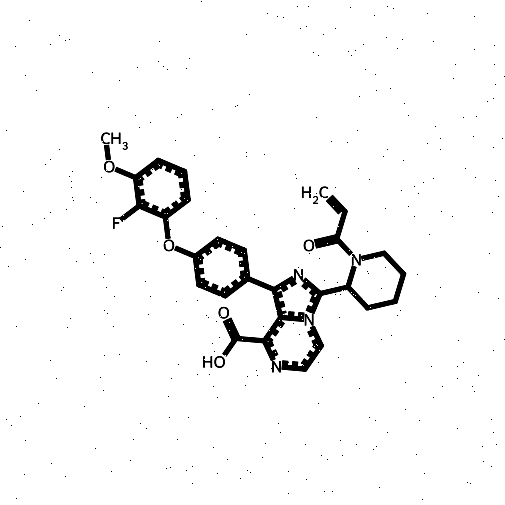 C=CC(=O)N1CCCCC1c1nc(-c2ccc(Oc3cccc(OC)c3F)cc2)c2c(C(=O)O)nccn12